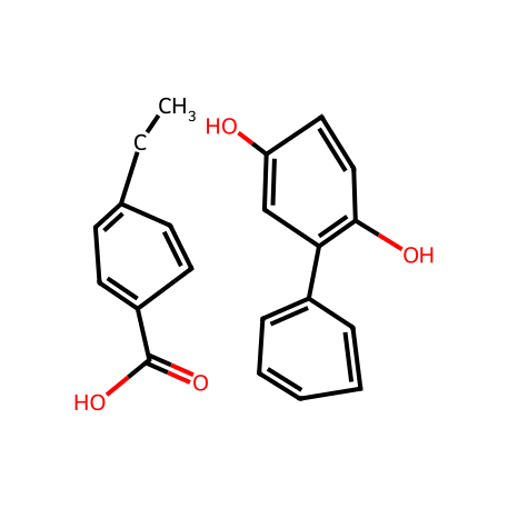 CCc1ccc(C(=O)O)cc1.Oc1ccc(O)c(-c2ccccc2)c1